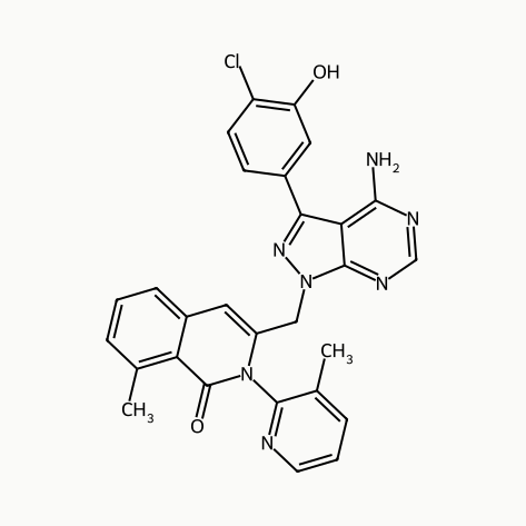 Cc1cccnc1-n1c(Cn2nc(-c3ccc(Cl)c(O)c3)c3c(N)ncnc32)cc2cccc(C)c2c1=O